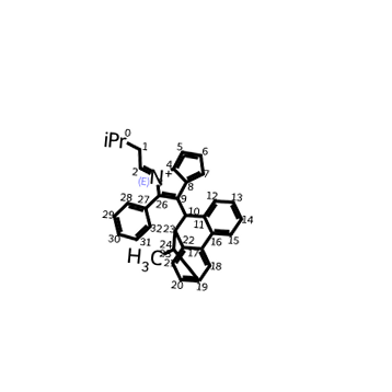 CC(C)C/C=[N+]1\C2=C=CC=C2C(C2c3ccccc3-c3cc4ccc3C2C4C)=C1c1ccccc1